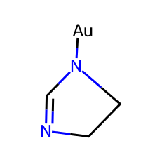 [Au][N]1C=NCC1